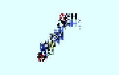 C[C@@H]1OCC2(CCN(c3cnc4nc(Sc5ccnc(N6CCOCC6)c5Cl)ccc4n3)CC2)[C@@H]1N